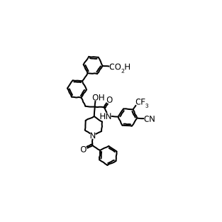 N#Cc1ccc(NC(=O)C(O)(Cc2cccc(-c3cccc(C(=O)O)c3)c2)C2CCN(C(=O)c3ccccc3)CC2)cc1C(F)(F)F